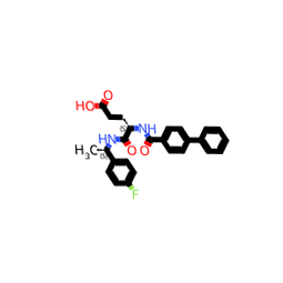 C[C@H](NC(=O)[C@H](CCC(=O)O)NC(=O)c1ccc(-c2ccccc2)cc1)c1ccc(F)cc1